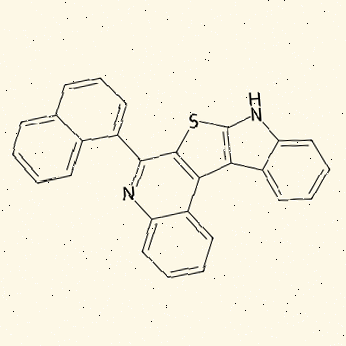 c1ccc2c(-c3nc4ccccc4c4c3sc3[nH]c5ccccc5c34)cccc2c1